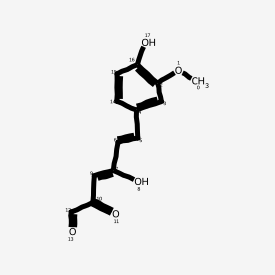 COc1cc(/C=C/C(O)=C/C(=O)C=O)ccc1O